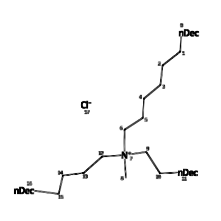 CCCCCCCCCCCCCCCC[N+](C)(CCCCCCCCCCCC)CCCCCCCCCCCCCC.[Cl-]